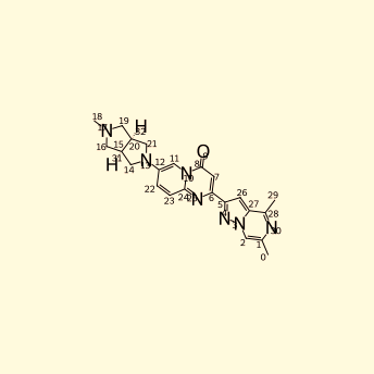 Cc1cn2nc(-c3cc(=O)n4cc(N5C[C@H]6CN(C)C[C@H]6C5)ccc4n3)cc2c(C)n1